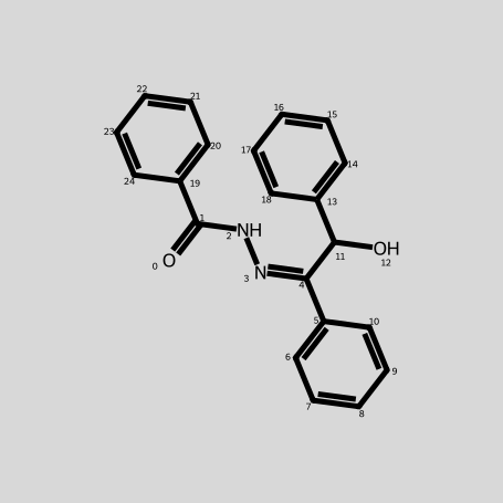 O=C(NN=C(c1ccccc1)C(O)c1ccccc1)c1ccccc1